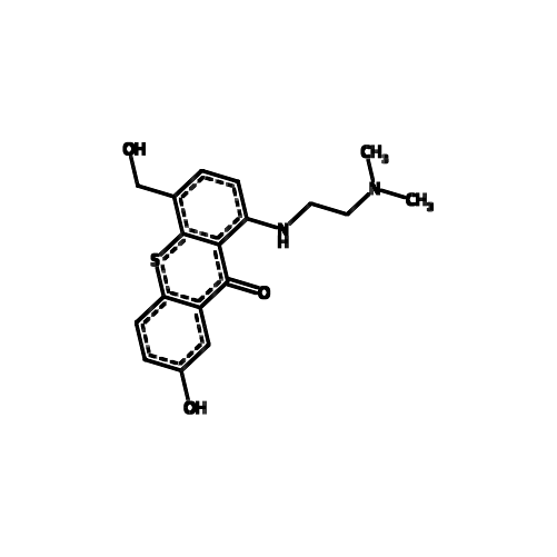 CN(C)CCNc1ccc(CO)c2sc3ccc(O)cc3c(=O)c12